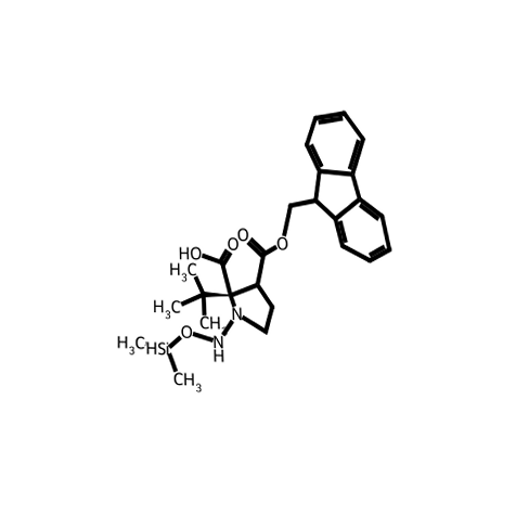 C[SiH](C)ONN1CCC(C(=O)OCC2c3ccccc3-c3ccccc32)[C@]1(C(=O)O)C(C)(C)C